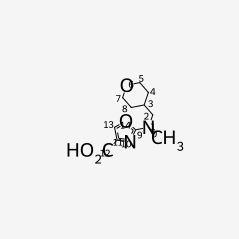 CN(CC1CCOCC1)c1nc(C(=O)O)co1